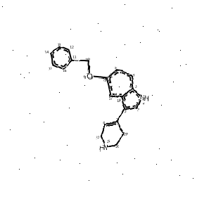 C1=C(c2c[nH]c3ccc(OCc4ccccc4)cc23)CCNC1